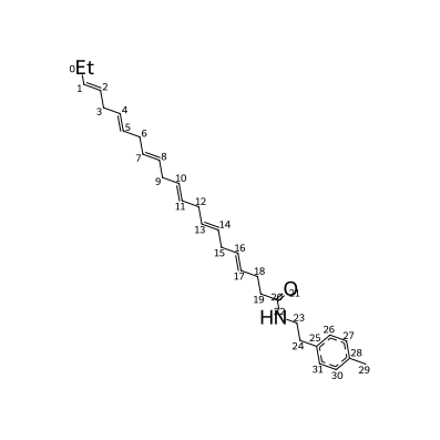 CCC=CCC=CCC=CCC=CCC=CCC=CCCC(=O)NCCc1ccc(C)cc1